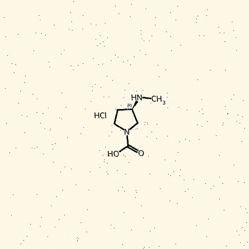 CN[C@@H]1CCN(C(=O)O)C1.Cl